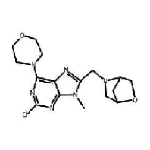 Cn1c(CN2CC3CC2CO3)nc2c(N3CCOCC3)nc(Cl)nc21